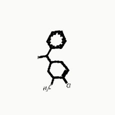 CC1CC(C(I)c2ccccc2)CC=C1Cl